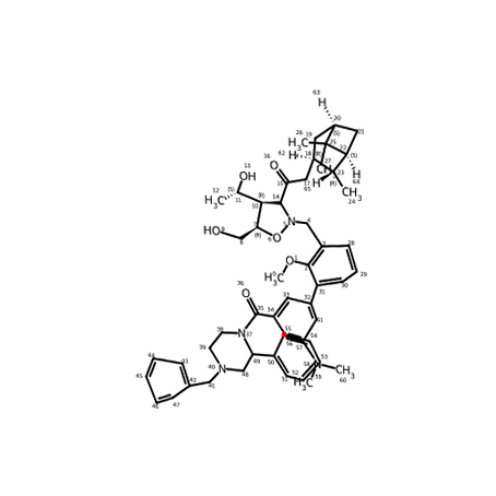 COc1c(CN2O[C@@H](CO)[C@@H]([C@H](C)O)C2C(=O)C[C@H]2C[C@H]3C[C@@H]([C@@H]2C)C3(C)C)cccc1-c1cc(C(=O)N2CCN(Cc3ccccc3)CC2c2ccccc2)cc(N(C)C)c1